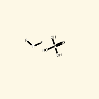 O=P(O)(O)O.[F][Ti][F]